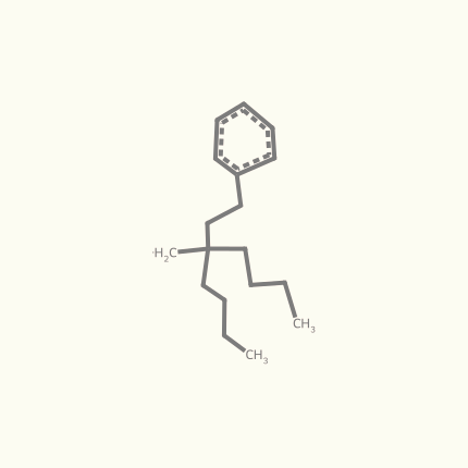 [CH2]C(CCCC)(CCCC)CCc1ccccc1